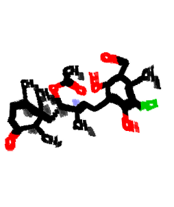 CC(=O)O[C@@H](C[C@@]1(C)[C@H](C)CCC(=O)[C@@H]1C)/C(C)=C/Cc1c(O)c(Cl)c(C)c(C=O)c1O